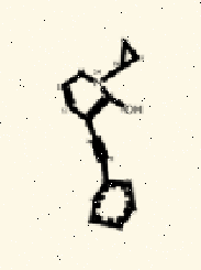 OC1=C(C#Cc2c[c]ccc2)C=CCN1C1CC1